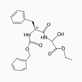 CCOC(=O)C(O)NC(=O)[C@H](Cc1ccccc1)NC(=O)OCc1ccccc1